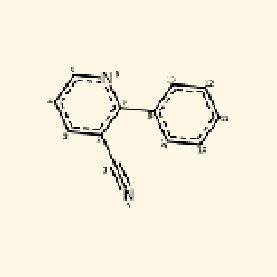 N#Cc1cccnc1-c1[c]cccc1